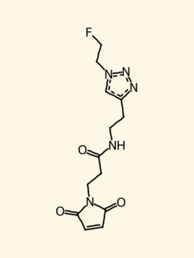 O=C(CCN1C(=O)C=CC1=O)NCCc1cn(CCF)nn1